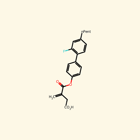 C=C(CC(=O)O)C(=O)Oc1ccc(-c2ccc(CCCCC)cc2F)cc1